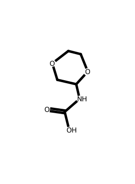 O=C(O)NC1COCCO1